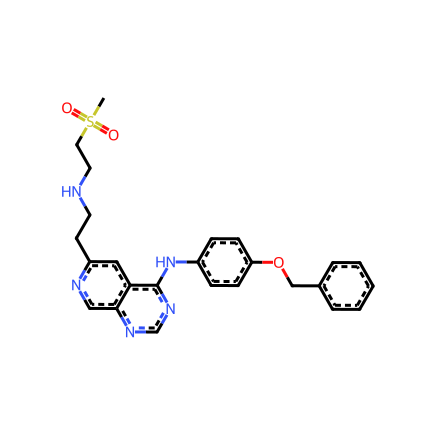 CS(=O)(=O)CCNCCc1cc2c(Nc3ccc(OCc4ccccc4)cc3)ncnc2cn1